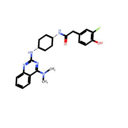 CN(C)c1nc(N[C@H]2CC[C@@H](NC(=O)Cc3ccc(O)c(F)c3)CC2)nc2ccccc12